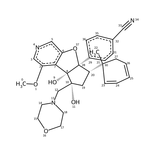 COc1cncc2c1[C@]1(O)[C@](O)(CN3CCOCC3)C[C@@H](C3(C)C=CC=CC3)[C@]1(c1ccc(C#N)cc1)O2